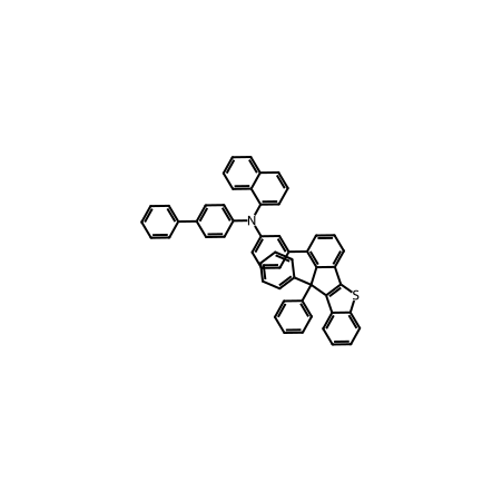 c1ccc(-c2ccc(N(c3cccc(-c4cccc5c4C(c4ccccc4)(c4ccccc4)c4c-5sc5ccccc45)c3)c3cccc4ccccc34)cc2)cc1